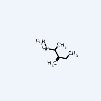 C=C(CC)C(C)PN